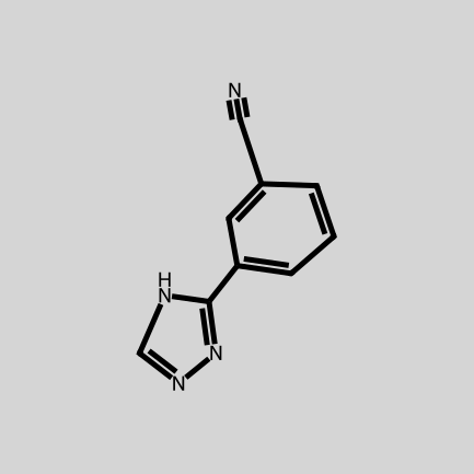 N#Cc1cccc(-c2nnc[nH]2)c1